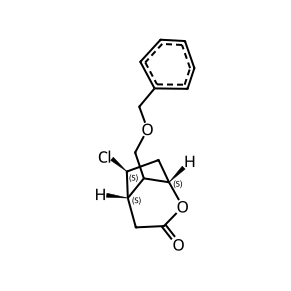 O=C1C[C@H]2C(COCc3ccccc3)[C@H](C[C@@H]2Cl)O1